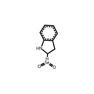 O=[SeH](=O)C1Cc2ccccc2N1